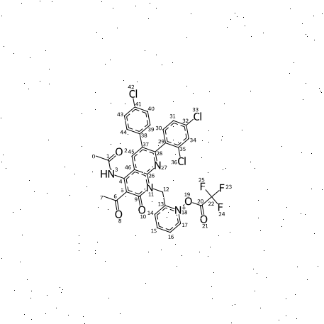 CC(=O)Nc1c(C(C)=O)c(=O)n(Cc2cccc[n+]2OC(=O)C(F)(F)F)c2nc(-c3ccc(Cl)cc3Cl)c(-c3ccc(Cl)cc3)cc12